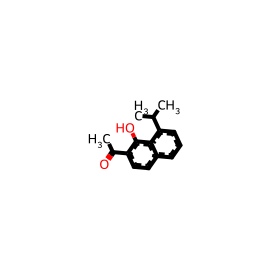 CC(=O)c1ccc2cccc(C(C)C)c2c1O